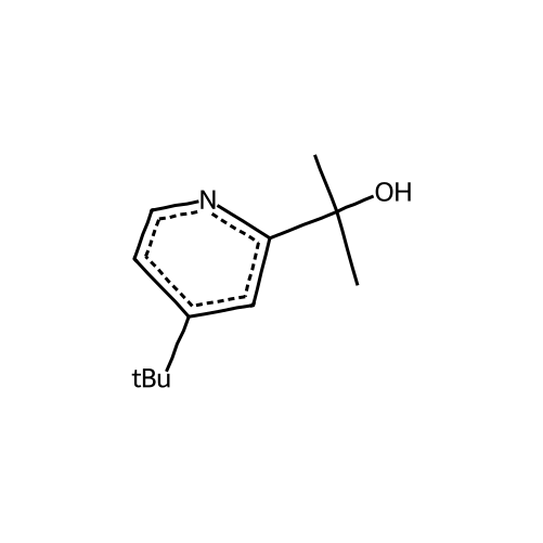 CC(C)(C)c1ccnc(C(C)(C)O)c1